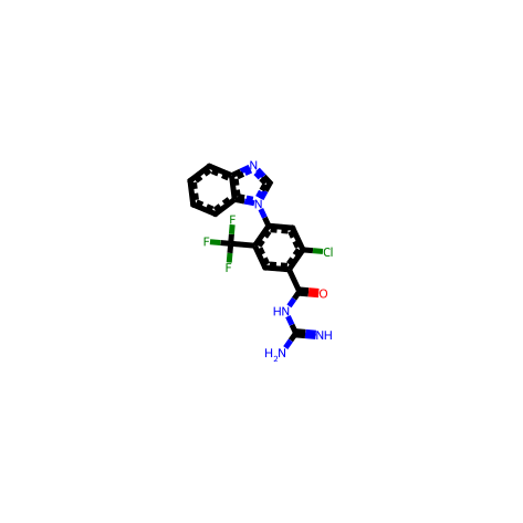 N=C(N)NC(=O)c1cc(C(F)(F)F)c(-n2cnc3ccccc32)cc1Cl